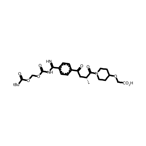 C[C@H](CC(=O)c1ccc(C(=N)NC(=O)OCOC(=O)C(C)(C)C)cc1)C(=O)N1CCC(OCC(=O)O)CC1